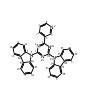 c1cncc(-c2nc(-n3c4ccccc4c4ccccc43)nc(-n3c4ccccc4c4ccccc43)n2)c1